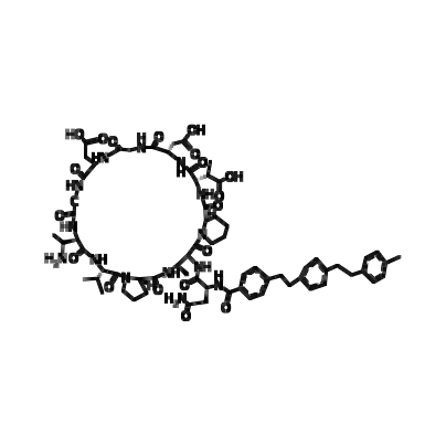 Cc1ccc(CCc2ccc(CCc3ccc(C(=O)N[C@@H](CC(N)=O)C(=O)NC4C(=O)N5CCCC[C@@H]5C(=O)N[C@@H](C(C)C(=O)O)C(=O)N[C@@H](CC(=O)O)C(=O)NCC(=O)NC(CC(=O)O)C(=O)NCC(=O)N[C@H](C(C)N)C(=O)N[C@@H](C(C)C)C(=O)N5CCC[C@H]5C(=O)N[C@@H]4C)cc3)cc2)cc1